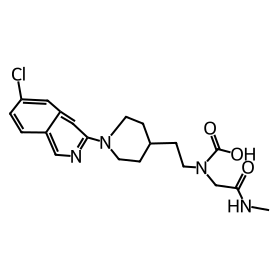 CNC(=O)CN(CCC1CCN(c2cc3cc(Cl)ccc3cn2)CC1)C(=O)O